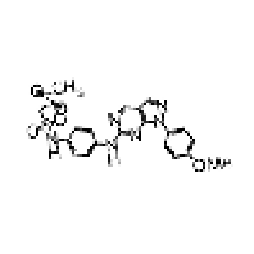 COc1ccc(-n2ncc3cnc(Nc4ccc(NS(=O)(=O)CS(C)(=O)=O)cc4)nc32)cc1